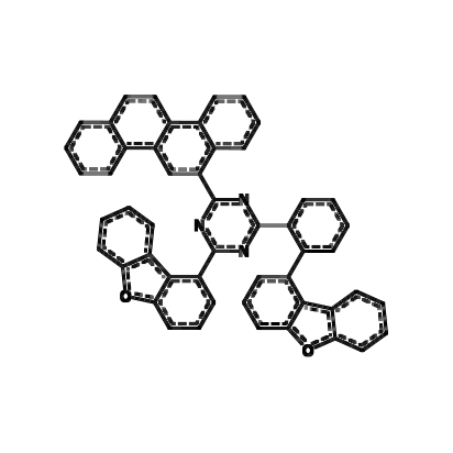 c1ccc(-c2cccc3oc4ccccc4c23)c(-c2nc(-c3cc4c5ccccc5ccc4c4ccccc34)nc(-c3cccc4oc5ccccc5c34)n2)c1